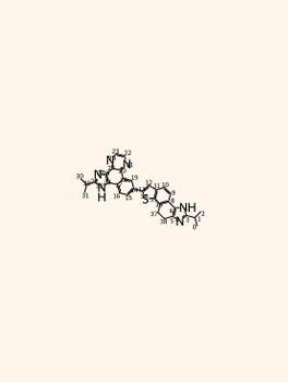 CC(C)c1nc2c([nH]1)-c1ccc3cc(-c4ccc5c(c4)c4nccnc4c4nc(C(C)C)[nH]c54)sc3c1CC2